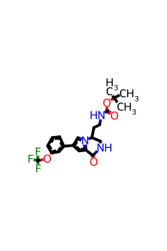 CC(C)(C)OC(=O)NCCC1CNC(=O)c2cc(-c3cccc(OC(F)(F)F)c3)cn21